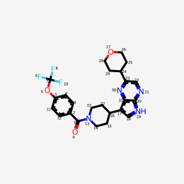 O=C(c1ccc(OC(F)(F)F)cc1)N1CCC(c2c[nH]c3ncc(C4CCOCC4)nc23)CC1